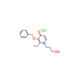 CCc1c(OCc2ccccc2)c(=O)ccn1CCCO.Cl